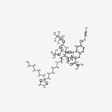 CC#CCOc1ccc(C[C@H](NC(=O)[C@@H](/C=C/CCCCCCC2(CCCCCCC)OCCO2)[C@@](O)(CCO[Si](C)(C)C(C)(C)C)C(=O)OC(C)(C)C)C(=O)N(C)C)cc1